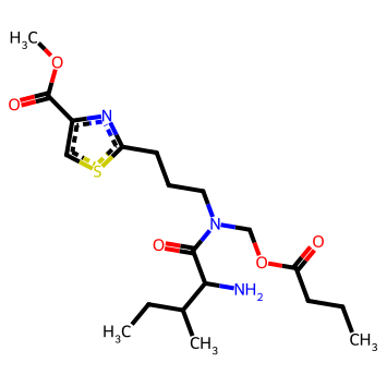 CCCC(=O)OCN(CCCc1nc(C(=O)OC)cs1)C(=O)C(N)C(C)CC